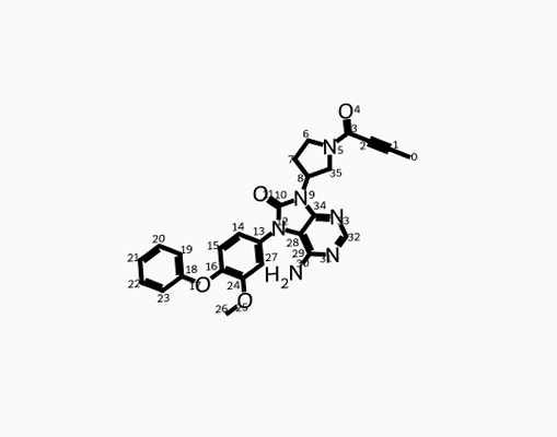 CC#CC(=O)N1CCC(n2c(=O)n(-c3ccc(Oc4ccccc4)c(OC)c3)c3c(N)ncnc32)C1